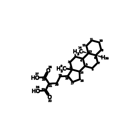 CC12CCC3C(CC[C@@H]4CCCC[C@]34C)C1CCC2CCC(C(=O)O)C(=O)O